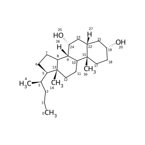 CCC[C@@H](C)[C@H]1CCC2[C@H]3C(CC[C@@]21C)[C@@]1(C)CC[C@@H](O)C[C@H]1C[C@H]3O